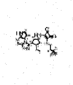 CCC1C[C@H](Nc2c(NCCC(F)(F)F)c(=O)c2=O)C[C@@H]1c1nnc2cnc3[nH]ccc3n12